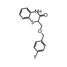 O=C1Nc2ccccc2SC1COCc1ccc(F)cc1